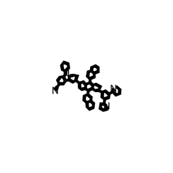 N#Cc1ccc2c(c1)c1cc(-c3ccc4c(-c5ccc6ccccc6c5)c5cc(-c6cc(-c7ccccn7)cc(-c7ccccn7)c6)ccc5c(-c5ccc6ccccc6c5)c4c3)ccc1n2-c1ccccc1